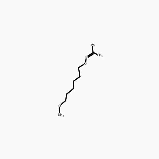 CC(=O)/C(C)=N/OCCCCCCON